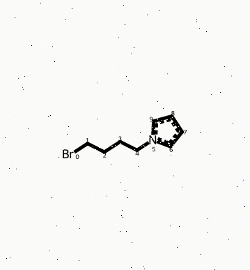 BrCCCCn1cccc1